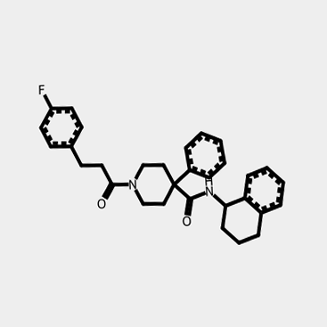 O=C(CCc1ccc(F)cc1)N1CCC(C(=O)NC2CCCc3ccccc32)(c2ccccc2)CC1